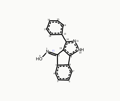 O/N=C1\c2ccccc2-c2[nH]nc(-c3ccccc3)c21